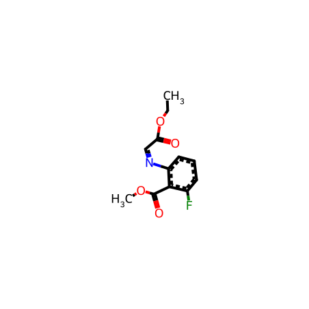 CCOC(=O)/C=N\c1cccc(F)c1C(=O)OC